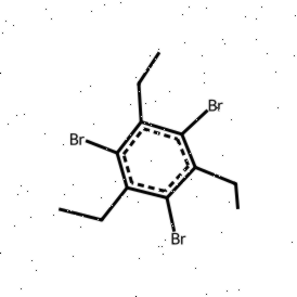 CCc1c(Br)c(CC)c(Br)c(CC)c1Br